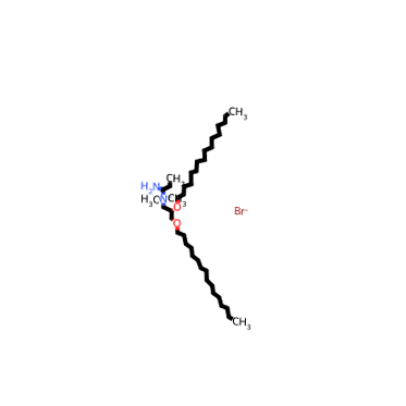 CCCCCCCCCCCCCCCCOCC(C[N+](C)(C)C(N)CC)OCCCCCCCCCCCCCCCC.[Br-]